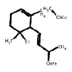 CCC1(C)CCC=C(C)C1/C=C/C(C)OC.COC